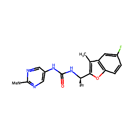 CNc1ncc(NC(=O)N[C@@H](c2oc3ccc(F)cc3c2C)C(C)C)cn1